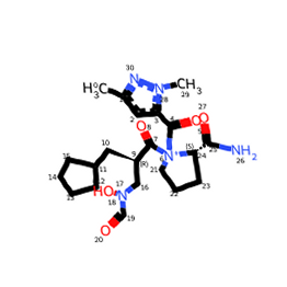 Cc1cc(C(=O)[N+]2(C(=O)[C@H](CC3CCCC3)CN(O)C=O)CCC[C@H]2C(N)=O)n(C)n1